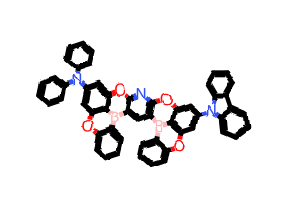 c1ccc(N(c2ccccc2)c2cc3c4c(c2)Oc2nc5c(cc2B4c2ccccc2O3)B2c3ccccc3Oc3cc(-n4c6ccccc6c6ccccc64)cc(c32)O5)cc1